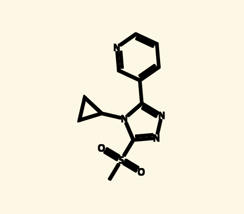 CS(=O)(=O)c1nnc(-c2cccnc2)n1C1CC1